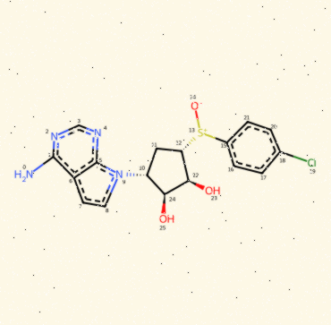 Nc1ncnc2c1ccn2[C@@H]1C[C@H]([S+]([O-])c2ccc(Cl)cc2)[C@@H](O)[C@H]1O